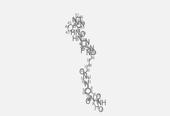 O=C1CCC(N2Cc3cc(N4CCN(C(=O)CCCCCc5nc(-c6ncc(NC(=O)Nc7cnc8ccnn8c7C7CCCC7)cc6F)no5)CC4)ccc3C2=O)C(=O)N1